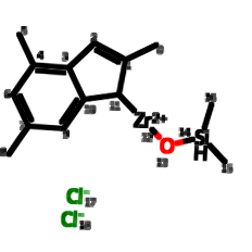 CC1=Cc2c(C)cc(C)cc2[CH]1[Zr+2][O][SiH](C)C.[Cl-].[Cl-]